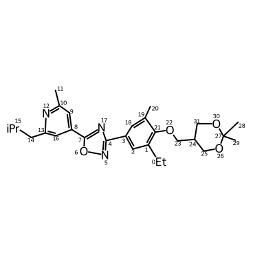 CCc1cc(-c2noc(-c3cc(C)nc(CC(C)C)c3)n2)cc(C)c1OCC1COC(C)(C)OC1